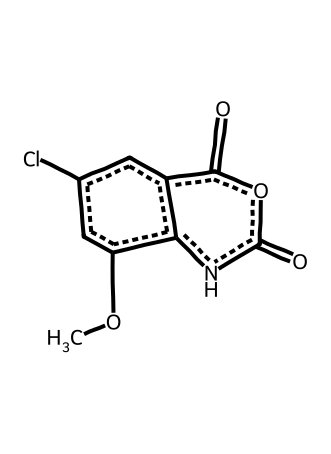 COc1cc(Cl)cc2c(=O)oc(=O)[nH]c12